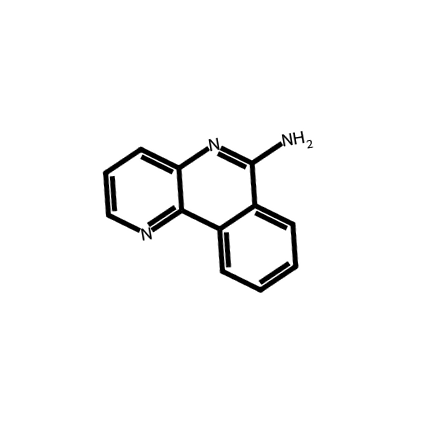 Nc1nc2cccnc2c2ccccc12